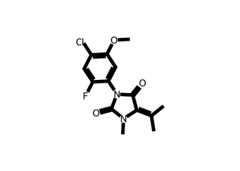 COc1cc(N2C(=O)C(=C(C)C)N(C)C2=O)c(F)cc1Cl